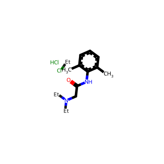 CCCl.CCN(CC)CC(=O)Nc1c(C)cccc1C.Cl